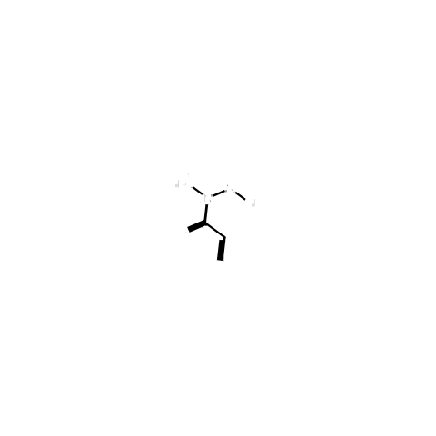 C=CC(=O)N(CCCC)NCCC